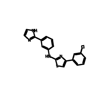 Clc1cccc(-c2csc(Nc3cccc(-c4ncc[nH]4)c3)n2)c1